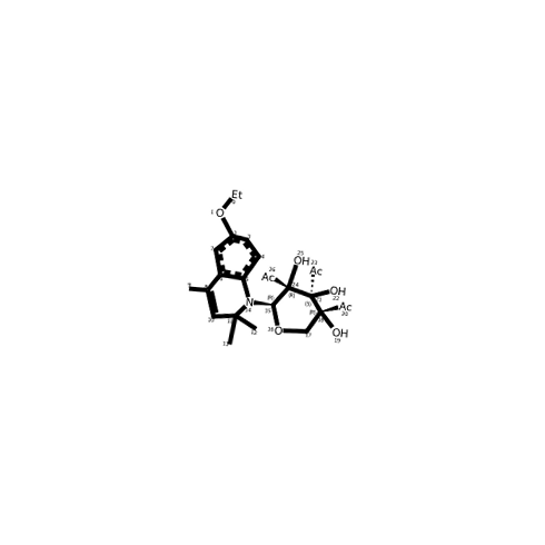 CCOc1ccc2c(c1)C(C)=CC(C)(C)N2[C@@H]1OC[C@](O)(C(C)=O)[C@@](O)(C(C)=O)[C@]1(O)C(C)=O